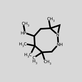 CPC1CC2(C)CN2NCC(C)(C)C1(C)C